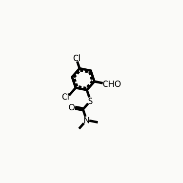 CN(C)C(=O)Sc1c(Cl)cc(Cl)cc1C=O